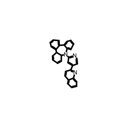 C1=CC2c3ccccc3-c3ccccc3N(c3cc(-c4ccc5ccccc5n4)ccn3)C2C=C1